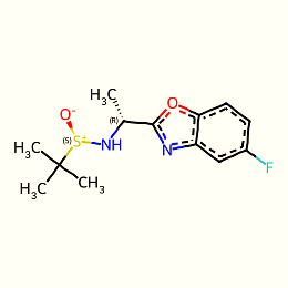 C[C@@H](N[S@+]([O-])C(C)(C)C)c1nc2cc(F)ccc2o1